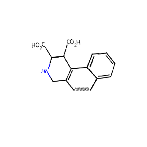 O=C(O)C1NCc2ccc3ccccc3c2C1C(=O)O